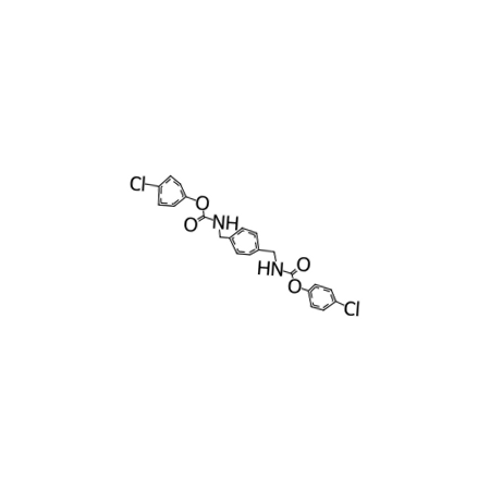 O=C(NCc1ccc(CNC(=O)Oc2ccc(Cl)cc2)cc1)Oc1ccc(Cl)cc1